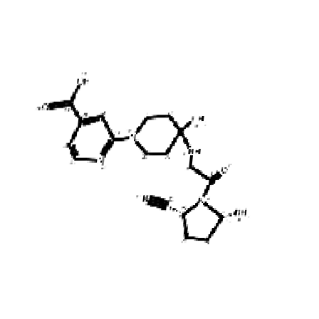 CC1(NCC(=O)N2[C@H](N)CC[C@@H]2C#N)CCN(c2cc(C(=O)O)ccn2)CC1